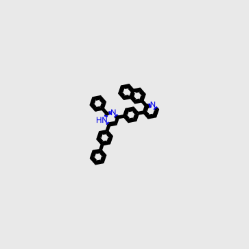 C1=C(c2ccc(-c3ccccc3)cc2)NC(c2ccccc2)N=C1c1ccc(-c2cccnc2-c2ccc3ccccc3c2)cc1